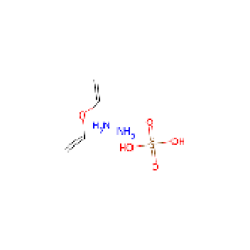 C=COC=C.N.N.O=S(=O)(O)O